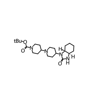 CC(C)(C)OC(=O)N1CCC(N2CCC(N3C(=O)N[C@@H]4CCCC[C@H]43)CC2)CC1